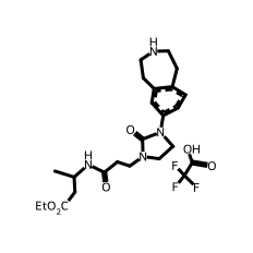 CCOC(=O)CC(C)NC(=O)CCN1CCN(c2ccc3c(c2)CCNCC3)C1=O.O=C(O)C(F)(F)F